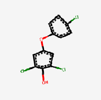 Oc1c(Cl)cc(Oc2ccc(Cl)cc2)cc1Cl